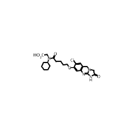 O=C(O)CN(C(=O)CCCCOc1cc2c(cc1Cl)CN1CC(=O)NC1=N2)C1CCCCC1